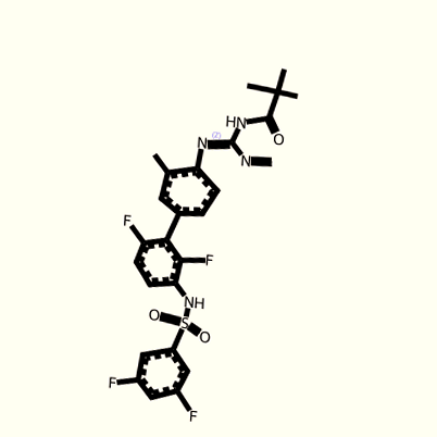 C=N/C(=N\c1ccc(-c2c(F)ccc(NS(=O)(=O)c3cc(F)cc(F)c3)c2F)cc1C)NC(=O)C(C)(C)C